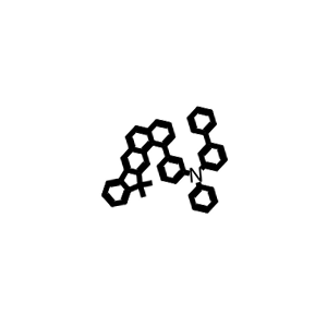 CC1(C)c2ccccc2-c2cc3ccc4cccc(-c5cccc(N(c6ccccc6)c6cccc(-c7ccccc7)c6)c5)c4c3cc21